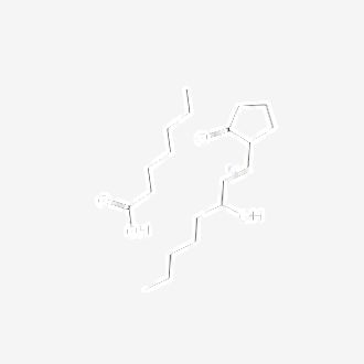 CCCCCC(O)/C=C/C1CCCC1=O.CCCCCCC(=O)O